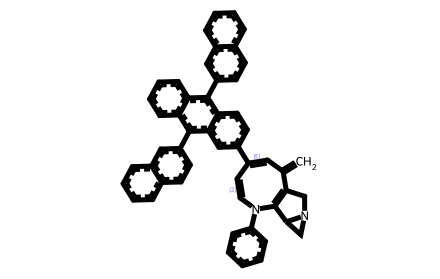 C=C1/C=C(c2ccc3c(-c4ccc5ccccc5c4)c4ccccc4c(-c4ccc5ccccc5c4)c3c2)\C=C/N(c2ccccc2)C2=C1CN1CC21